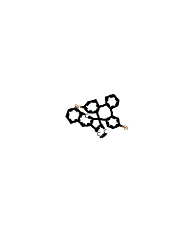 Brc1ccc2c(c1)-c1ccccc1-c1ccc(Br)cc1C21c2ccccc2-c2cc3ccccc3cc21